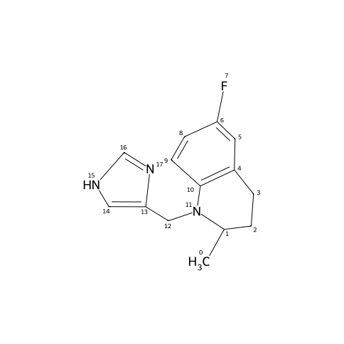 CC1CCc2cc(F)ccc2N1Cc1c[nH]cn1